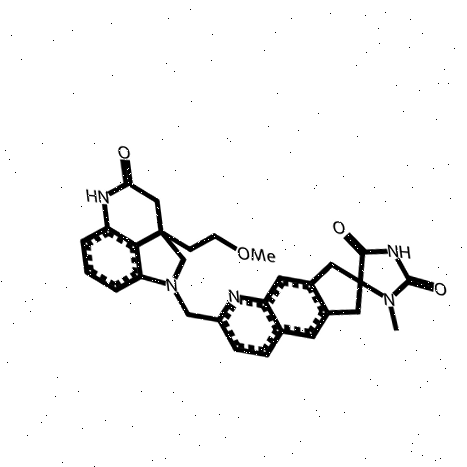 COCCC12CC(=O)Nc3cccc(c31)N(Cc1ccc3cc4c(cc3n1)CC1(C4)C(=O)NC(=O)N1C)C2